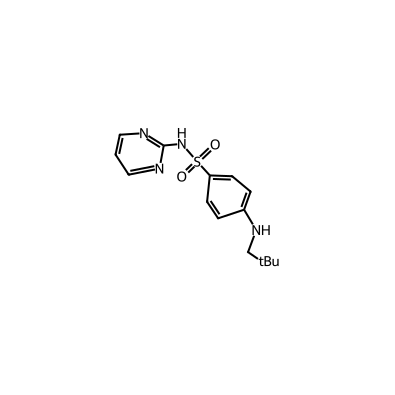 CC(C)(C)CNc1ccc(S(=O)(=O)Nc2ncccn2)cc1